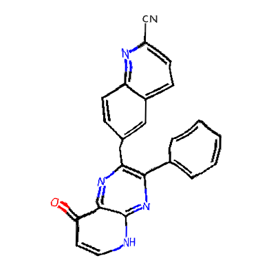 N#Cc1ccc2cc(-c3nc4c(=O)cc[nH]c4nc3-c3ccccc3)ccc2n1